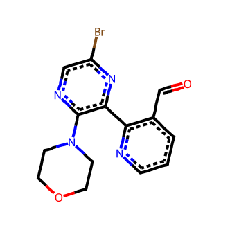 O=Cc1cccnc1-c1nc(Br)cnc1N1CCOCC1